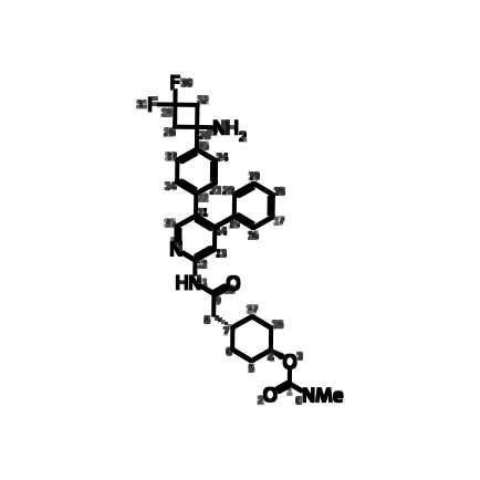 CNC(=O)O[C@H]1CC[C@H](CC(=O)Nc2cc(-c3ccccc3)c(-c3ccc(C4(N)CC(F)(F)C4)cc3)cn2)CC1